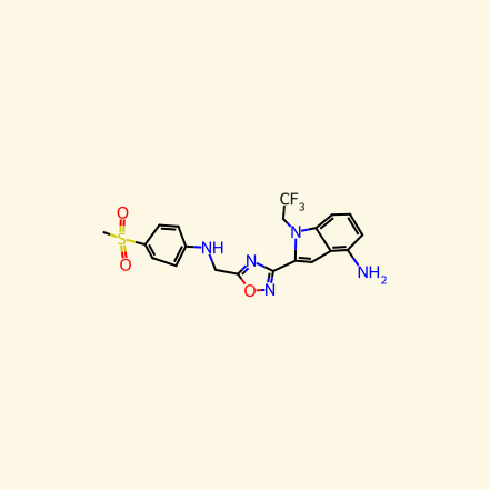 CS(=O)(=O)c1ccc(NCc2nc(-c3cc4c(N)cccc4n3CC(F)(F)F)no2)cc1